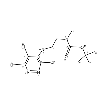 CN(CCNc1c(Cl)nnc(Cl)c1Cl)C(=O)OC(C)(C)C